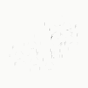 C[NH+](C)c1ccccc1.Fc1c(F)c(F)c(B(c2c(F)c(F)c(F)c(F)c2F)c2c(F)c(F)c(F)c(F)c2F)c(F)c1F.Fc1c(F)c(F)c([B-](c2c(F)c(F)c(F)c(F)c2F)(c2c(F)c(F)c(F)c(F)c2F)c2c(F)c(F)c(F)c(F)c2F)c(F)c1F